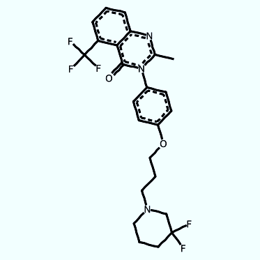 Cc1nc2cccc(C(F)(F)F)c2c(=O)n1-c1ccc(OCCCN2CCCC(F)(F)C2)cc1